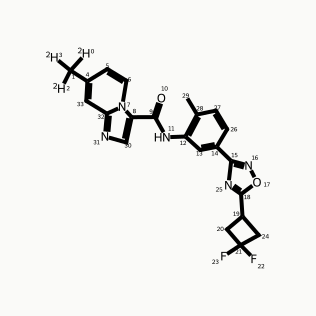 [2H]C([2H])([2H])c1ccn2c(C(=O)Nc3cc(-c4noc(C5CC(F)(F)C5)n4)ccc3C)cnc2c1